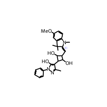 COc1ccc2c(c1)C(C)(C)/C(=C\C1C(O)C(c3c(C)nn(-c4ccccc4)c3O)C1O)N2C